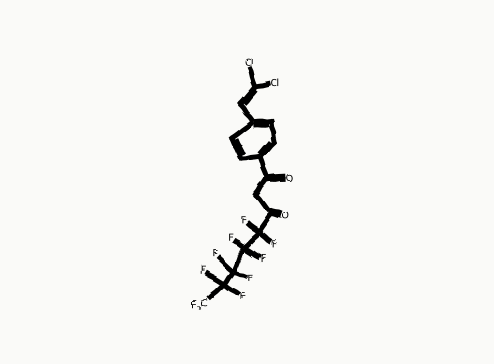 O=C(CC(=O)C(F)(F)C(F)(F)C(F)(F)C(F)(F)C(F)(F)F)c1ccc(C=C(Cl)Cl)cc1